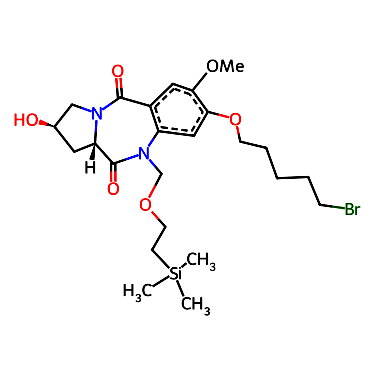 COc1cc2c(cc1OCCCCCBr)N(COCC[Si](C)(C)C)C(=O)[C@@H]1C[C@@H](O)CN1C2=O